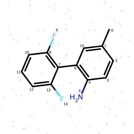 Cc1ccc(N)c(-c2c(F)cccc2F)c1